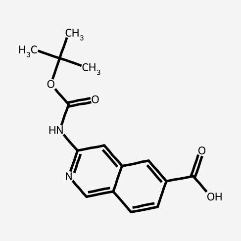 CC(C)(C)OC(=O)Nc1cc2cc(C(=O)O)ccc2cn1